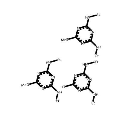 CCNc1nc(Cl)nc(NC(C)C)n1.CCNc1nc(NC(C)C)nc(OC)n1.CCNc1nc(NC(C)C)nc(SC)n1